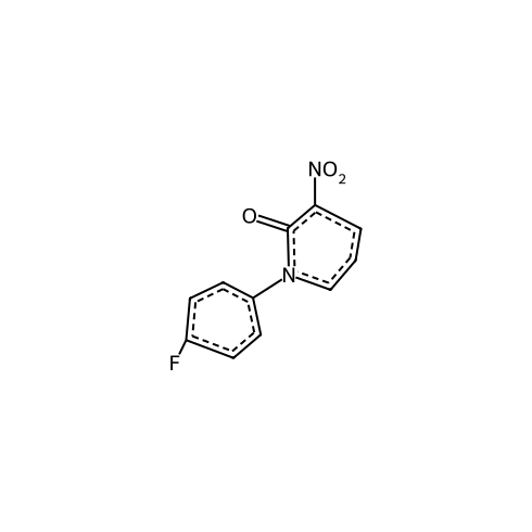 O=c1c([N+](=O)[O-])cccn1-c1ccc(F)cc1